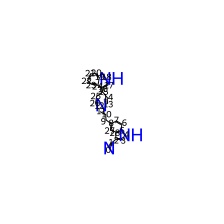 N#Cc1c[nH]c2ccc(CCCN3CCC(c4c[nH]c5ccccc45)CC3)cc12